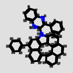 c1ccc(-c2nc3ccccc3nc2-n2c3cc(-c4ccccc4)c4cccc5c4c3c3c4c(ccc6cccc-5c64)ccc32)cc1